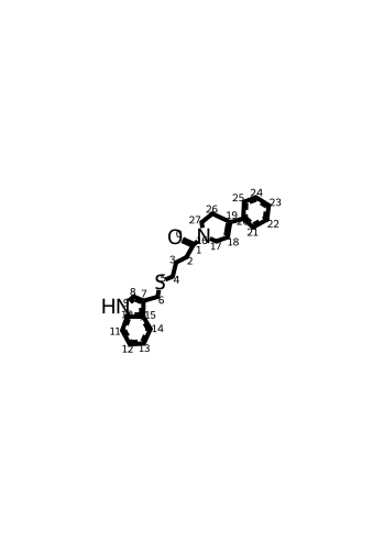 O=C(CCCSCc1c[nH]c2ccccc12)N1CC=C(c2ccccc2)CC1